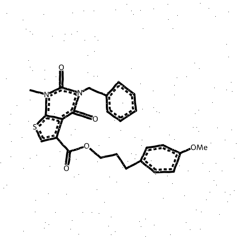 COc1ccc(CCCOC(=O)c2csc3c2c(=O)n(Cc2ccccc2)c(=O)n3C)cc1